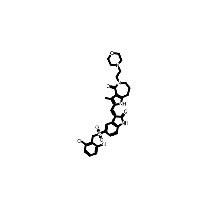 Cc1c(C=C2C(=O)Nc3ccc(S(=O)(=O)Cc4c(Cl)cccc4Cl)cc32)[nH]c2c1C(=O)N(CCN1CCOCC1)CCC2